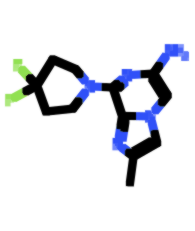 Cc1cn2cc(N)nc(N3CCC(F)(F)CC3)c2n1